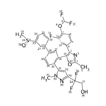 Cc1nc(-c2ccc(OC(F)F)c(F)c2)c(-c2cc(-c3cccc([S+](C)[O-])c3)ccc2-c2cc(C(F)(F)CO)nn2C)o1